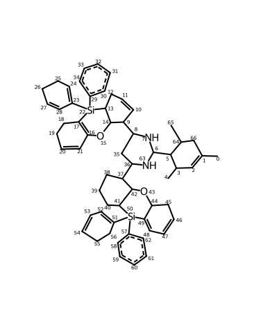 CC1=CC(C)C(C2NC(C3C=CCC4C3OC3=C(CCC=C3)[Si]4(C3=CCCC=C3)c3ccccc3)CC(C3CCCC4C3OC3CC=CC=C3[Si]4(C3=CC=CCC3)c3ccccc3)N2)C(C)C1